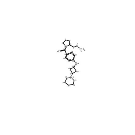 COCC1CCCN1C(=O)c1ccc(OC2CC(N3CCCCC3)C2)cc1